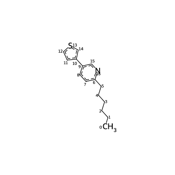 CCCCCCc1ccc(-c2ccsc2)cn1